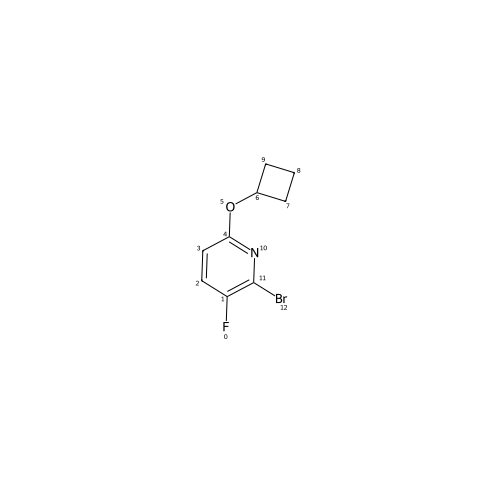 Fc1ccc(OC2CCC2)nc1Br